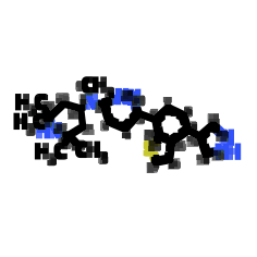 CN(c1ccc(-c2ccc(-c3cn[nH]c3)c3ccsc23)nn1)C1CC(C)(C)NC(C)(C)C1